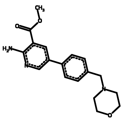 COC(=O)c1cc(-c2ccc(CN3CCOCC3)cc2)cnc1N